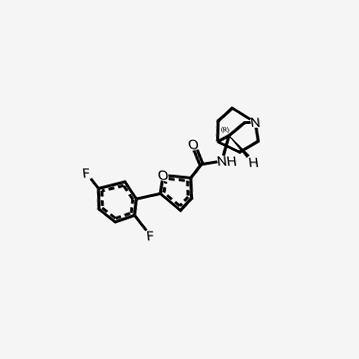 O=C(N[C@H]1CN2CCC1CC2)c1ccc(-c2cc(F)ccc2F)o1